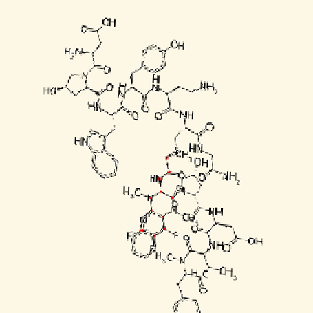 CCCC[C@@H](C(=O)N1C[C@H](O)C[C@@H]1C(=O)N[C@@H](CC(=O)O)C(=O)N[C@H](C(=O)N(C)C(C=O)Cc1ccccc1)C(C)C)N(C)C(=O)[C@H](Cc1ccccc1)N(C)C(=O)[C@H](Cc1cc(F)c(F)c(F)c1)NC(=O)CSC[C@H](NC(=O)[C@H](CCN)NC(=O)[C@H](Cc1ccc(O)cc1)NC(=O)[C@H](Cc1c[nH]c2ccccc12)NC(=O)[C@H]1C[C@@H](O)CN1C(=O)[C@@H](N)CC(=O)O)C(=O)NCC(N)=O